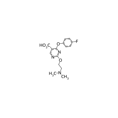 CN(C)CCOc1ncc(C(=O)O)c(Oc2ccc(F)cc2)n1